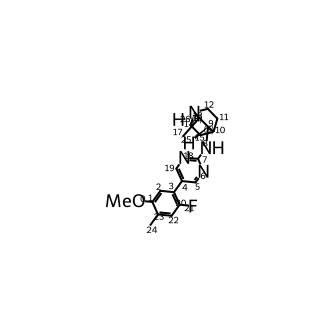 COc1cc(-c2cnc(N[C@H]3C4CCN(CC4)[C@@H]3C)nc2)c(F)cc1C